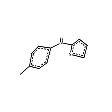 Cc1ccc(Nc2cccs2)cc1